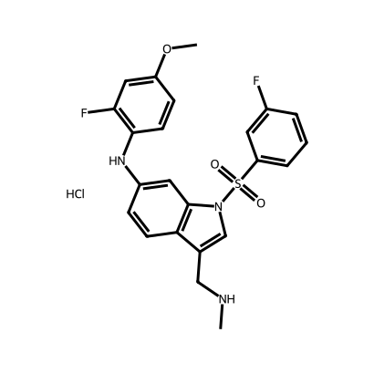 CNCc1cn(S(=O)(=O)c2cccc(F)c2)c2cc(Nc3ccc(OC)cc3F)ccc12.Cl